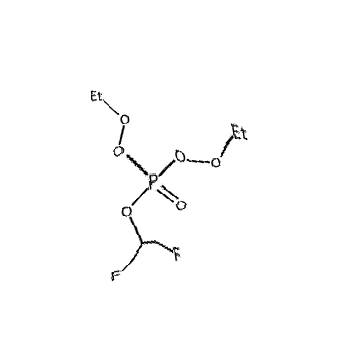 CCOOP(=O)(OOCC)OC(F)F